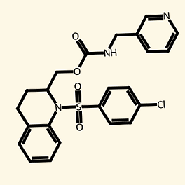 O=C(NCc1cccnc1)OCC1CCc2ccccc2N1S(=O)(=O)c1ccc(Cl)cc1